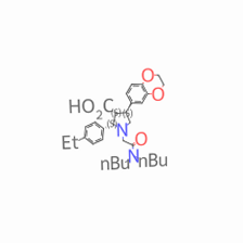 CCCCN(CCCC)C(=O)CN1C[C@H](c2ccc3c(c2)OCCO3)[C@H](C(=O)O)[C@H]1c1ccc(CC)cc1